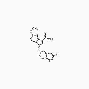 COc1ccc2c(n1)c(C(=O)O)cn2Cc1ccc2ncc(Cl)cc2c1